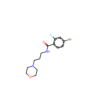 O=C(NCCCN1CCOCC1)c1ccc(Br)cc1F